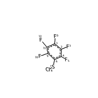 Fc1c(F)c(F)c(SCl)c(F)c1F